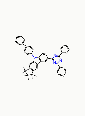 CC1(C)c2cc3c4cc(-c5nc(-c6ccccc6)nc(-c6ccccc6)n5)ccc4n(-c4ccc(-c5ccccc5)cc4)c3cc2C(C)(C)C1(C)C